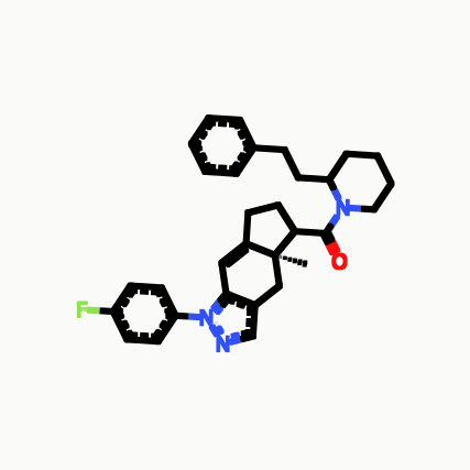 C[C@]12Cc3cnn(-c4ccc(F)cc4)c3C=C1CCC2C(=O)N1CCCCC1CCc1ccccc1